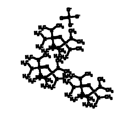 CN(C)P(=N[P+](N(C)C)(N(C)C)N(C)C)(N(C)C)N(C)C.CN(C)P(=N[P+](N(C)C)(N(C)C)N(C)C)(N(C)C)N(C)C.CN(C)P(=N[P+](N(C)C)(N(C)C)N(C)C)(N(C)C)N(C)C.O=P([O-])([O-])[O-]